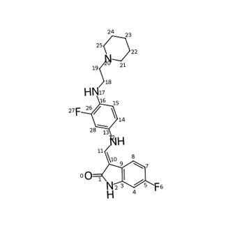 O=C1Nc2cc(F)ccc2/C1=C\Nc1ccc(NCCN2CCCCC2)c(F)c1